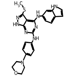 CSc1n[nH]c2nc(Nc3ccc(N4CCOCC4)cc3)nc(Nc3ccc4cc[nH]c4c3)c12